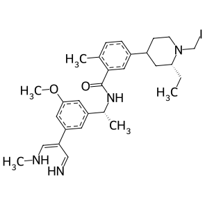 CC[C@@H]1CC(c2ccc(C)c(C(=O)N[C@H](C)c3cc(OC)cc(/C(C=N)=C/NC)c3)c2)CCN1CI